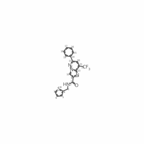 O=C(NCc1cccs1)c1cn2nc(-c3ccccc3)cc(C(F)(F)F)c2n1